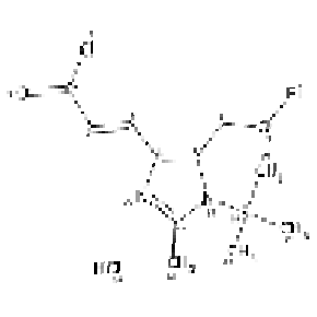 CCOCc1c(C=CC(=O)Cl)nc(C)n1[Si](C)(C)C.Cl